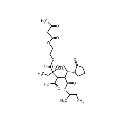 CCC(C)OC(=O)C(C(CC)N1CCCC1=O)C(C(=O)O)C(C)(CC)C(=O)OCCOC(=O)CC(C)=O